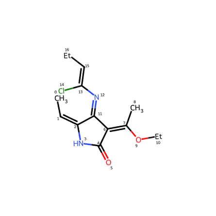 C/C=C1/NC(=O)C(=C(/C)OCC)/C1=N/C(Cl)=C/CC